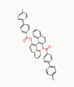 Cc1ccc(-c2ccc(C(=O)Oc3ccc4ccccc4c3-c3c(OC(=O)c4ccc(-c5ccc(C)cc5)cc4)ccc4ccccc34)cc2)cc1